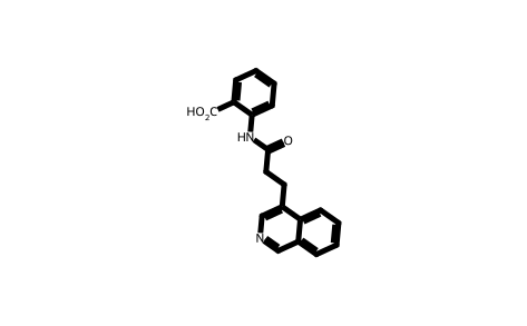 O=C(CCc1cncc2ccccc12)Nc1ccccc1C(=O)O